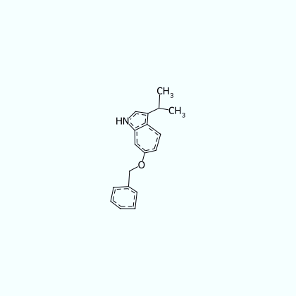 CC(C)c1c[nH]c2cc(OCc3ccccc3)ccc12